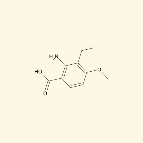 CCc1c(OC)ccc(C(=O)O)c1N